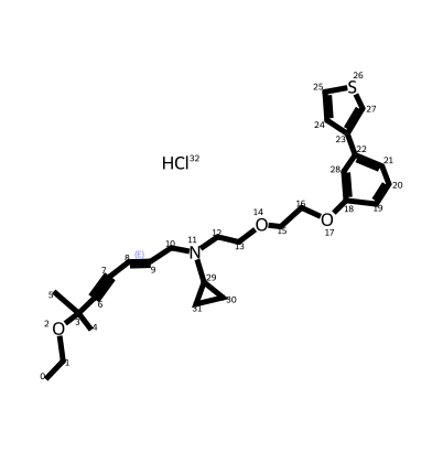 CCOC(C)(C)C#C/C=C/CN(CCOCCOc1cccc(-c2ccsc2)c1)C1CC1.Cl